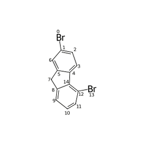 Brc1ccc2c(c1)Cc1cccc(Br)c1-2